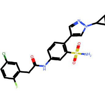 NS(=O)(=O)c1cc(NC(=O)Cc2cc(Cl)ccc2F)ccc1-c1cnn(C2CC2)c1